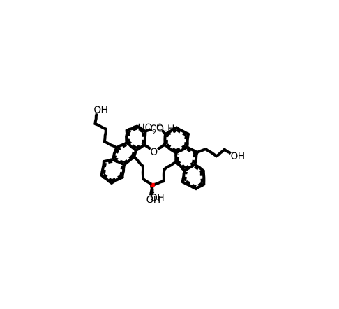 O=C(O)c1ccc2c(CCCO)c3ccccc3c(CCCO)c2c1Oc1c(C(=O)O)ccc2c(CCCO)c3ccccc3c(CCCO)c12